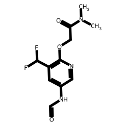 CN(C)C(=O)COc1ncc(NC=O)cc1C(F)F